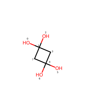 OC1(O)CC(O)(O)C1